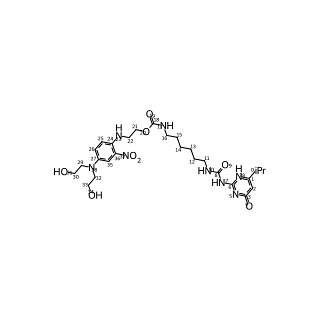 CC(C)c1cc(=O)nc(NC(=O)NCCCCCCNC(=O)OCCNc2ccc(N(CCO)CCO)cc2[N+](=O)[O-])[nH]1